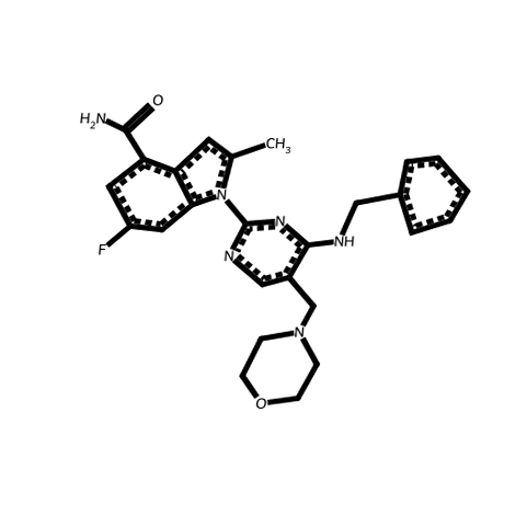 Cc1cc2c(C(N)=O)cc(F)cc2n1-c1ncc(CN2CCOCC2)c(NCc2ccccc2)n1